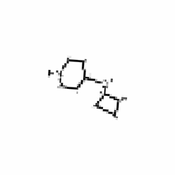 C1CC(OC2CCNCC2)C1